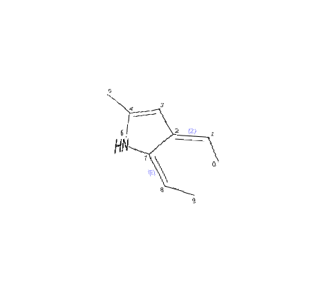 C/C=c1/cc(C)[nH]/c1=C/C